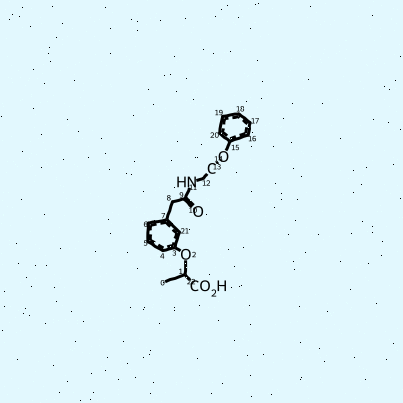 CC(Oc1cccc(CC(=O)NCCOc2ccccc2)c1)C(=O)O